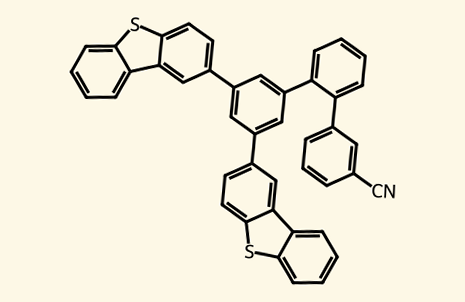 N#Cc1cccc(-c2ccccc2-c2cc(-c3ccc4sc5ccccc5c4c3)cc(-c3ccc4sc5ccccc5c4c3)c2)c1